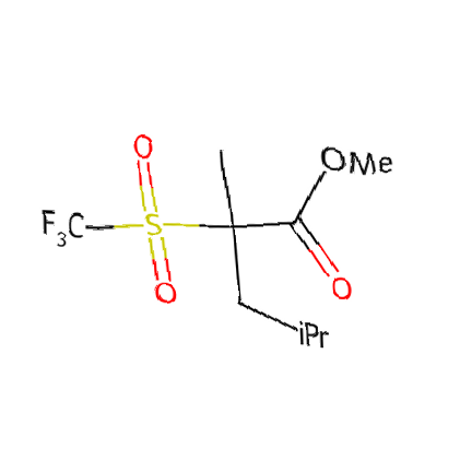 COC(=O)C(C)(CC(C)C)S(=O)(=O)C(F)(F)F